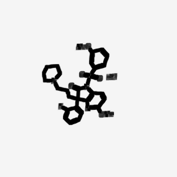 COc1cccc(S(=O)(=O)N2C(=O)C(CCCN3CCCCC3)(c3ccccc3F)c3nc(OC)ccc32)c1.Cl